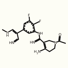 CN/C=C(\C=N)c1cc(F)c(F)c(NC(=N)C2=C(N)CCN(C(C)=O)C2)c1